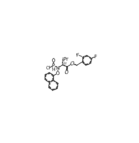 CC(C)[C@@H](C(=O)OCc1ccc(F)cc1F)N(Oc1cccc2ccccc12)[PH](=O)Cl